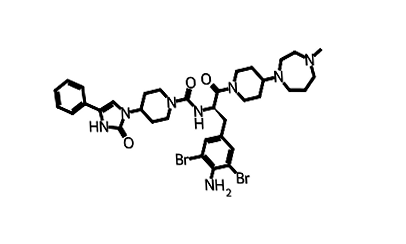 CN1CCCN(C2CCN(C(=O)[C@@H](Cc3cc(Br)c(N)c(Br)c3)NC(=O)N3CCC(n4cc(-c5ccccc5)[nH]c4=O)CC3)CC2)CC1